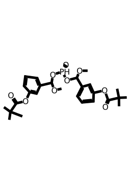 COC(O[PH](=O)OC(OC)c1cccc(OC(=O)C(C)(C)C)c1)c1cccc(OC(=O)C(C)(C)C)c1